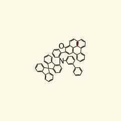 c1ccc(-c2cccc(N(c3cccc4c3-c3ccccc3C43c4ccccc4-c4ccccc43)c3cccc4oc5c6ccccc6c(-c6ccccc6-c6ccccc6)cc5c34)c2)cc1